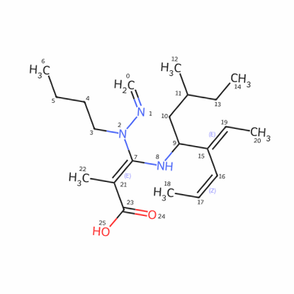 C=NN(CCCC)/C(NC(CC(C)CC)C(/C=C\C)=C/C)=C(\C)C(=O)O